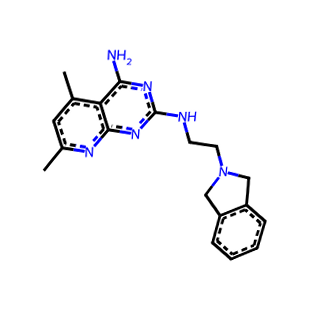 Cc1cc(C)c2c(N)nc(NCCN3Cc4ccccc4C3)nc2n1